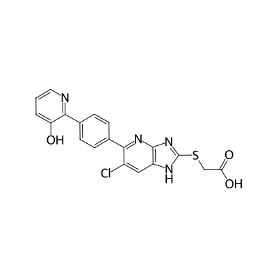 O=C(O)CSc1nc2nc(-c3ccc(-c4ncccc4O)cc3)c(Cl)cc2[nH]1